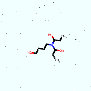 CCC(O)N(CCCCO)C(O)CC